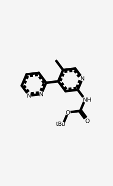 Cc1cnc(NC(=O)OC(C)(C)C)cc1-c1cccnn1